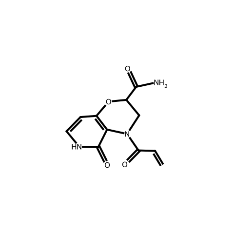 C=CC(=O)N1CC(C(N)=O)Oc2cc[nH]c(=O)c21